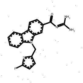 NC(N)=NC(=O)c1ccc2c3ccccc3n(Cc3ccc(F)s3)c2c1